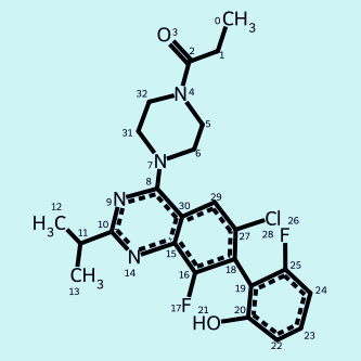 CCC(=O)N1CCN(c2nc(C(C)C)nc3c(F)c(-c4c(O)cccc4F)c(Cl)cc23)CC1